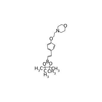 CC1(C)OB(/C=C/c2ccc(OCCN3CCOCC3)cc2)OC1(C)C